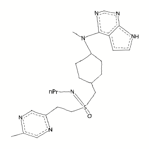 CCCN=S(=O)(CCc1cnc(C)cn1)CC1CCC(N(C)c2ncnc3[nH]ccc23)CC1